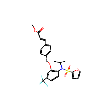 COC(=O)/C=C/c1ccc(COc2cc(C(F)(F)F)ccc2N(C(C)C)S(=O)(=O)c2ccco2)cc1